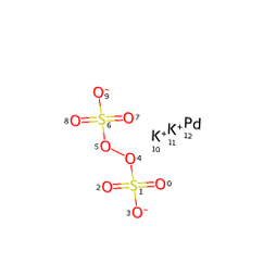 O=S(=O)([O-])OOS(=O)(=O)[O-].[K+].[K+].[Pd]